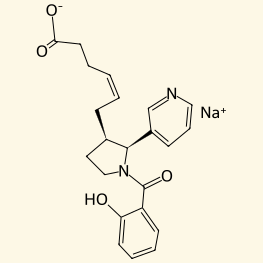 O=C([O-])CC/C=C\C[C@@H]1CCN(C(=O)c2ccccc2O)[C@@H]1c1cccnc1.[Na+]